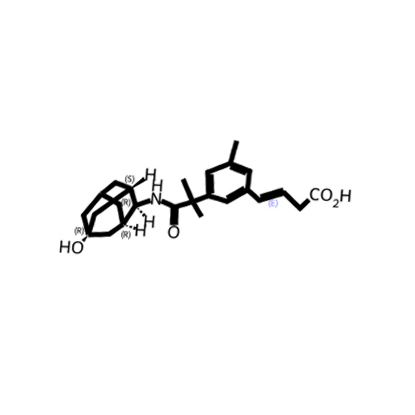 Cc1cc(/C=C/CC(=O)O)cc(C(C)(C)C(=O)N[C@H]2[C@@H]3CC4C[C@H]2C[C@](O)(C4)C3)c1